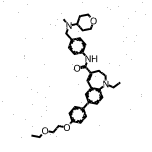 CCOCCOc1ccc(-c2ccc3c(c2)C=C(C(=O)Nc2ccc(CN(C)C4CCOCC4)cc2)CCN3CC)cc1